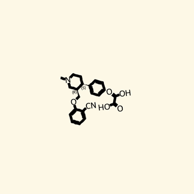 CN1CC[C@H](c2ccccc2)[C@@H](COc2ccccc2C#N)C1.O=C(O)C(=O)O